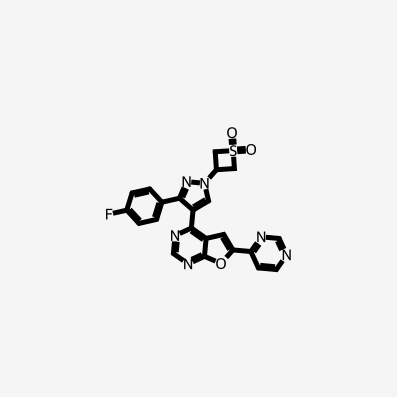 O=S1(=O)CC(n2cc(-c3ncnc4oc(-c5ccncn5)cc34)c(-c3ccc(F)cc3)n2)C1